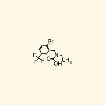 CCN(Cc1cc(C(F)(F)F)ccc1Br)C(=O)O